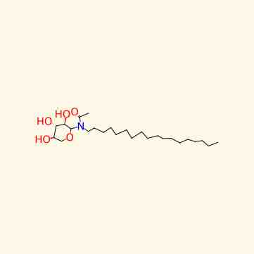 CCCCCCCCCCCCCCCCCCN(C(C)=O)C1OC[C@@H](O)[C@H](O)[C@H]1O